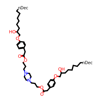 CCCCCCCCCCCCCCCCC(O)COc1ccc(CC(=O)OCCCN2CCN(CCCOC(=O)Cc3ccc(OCC(O)CCCCCCCCCCCCCCCC)cc3)CC2)cc1